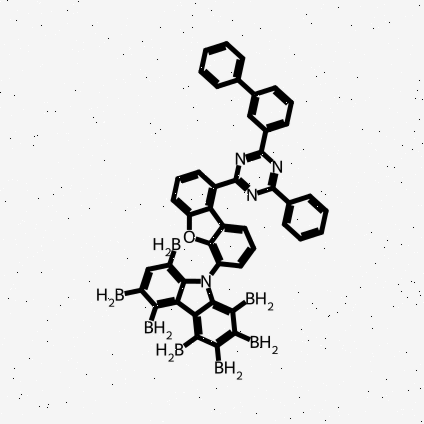 Bc1cc(B)c2c(c1B)c1c(B)c(B)c(B)c(B)c1n2-c1cccc2c1oc1cccc(-c3nc(-c4ccccc4)nc(-c4cccc(-c5ccccc5)c4)n3)c12